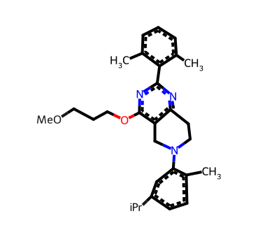 COCCCOc1nc(-c2c(C)cccc2C)nc2c1CN(c1cc(C(C)C)ccc1C)CC2